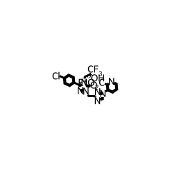 CCOC(=O)c1ncccc1-n1cnc(Cn2nc(-c3ccc(Cl)cc3)n(C[C@H](O)C(F)(F)F)c2=O)n1